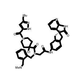 CCC1(C(=O)N(CC(=O)Nc2ccc3c(c2)C[C@@]2(C3)C(=O)Nc3ncccc32)Cc2ccccc2CNC)CCN(C(=O)c2cc(C(C)(C)C)n[nH]2)CC1